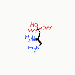 NCC(N)CC(O)(O)O